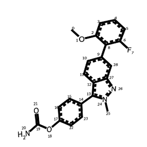 COc1cccc(F)c1-c1ccc2c(-c3ccc(OC(N)=O)cc3)n(C)nc2c1